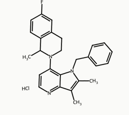 Cc1c(C)n(Cc2ccccc2)c2c(N3CCc4cc(F)ccc4C3C)ccnc12.Cl